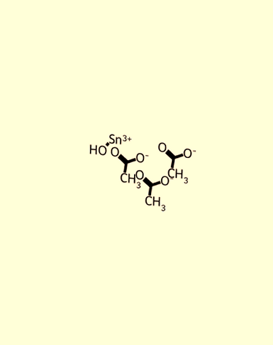 CC(=O)[O-].CC(=O)[O-].CC(=O)[O-].[OH][Sn+3]